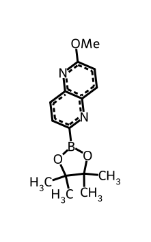 COc1ccc2nc(B3OC(C)(C)C(C)(C)O3)ccc2n1